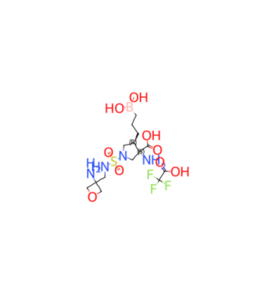 NC1(CNS(=O)(=O)N2C[C@@H](CCCB(O)O)[C@@](N)(C(=O)O)C2)COC1.O=C(O)C(F)(F)F